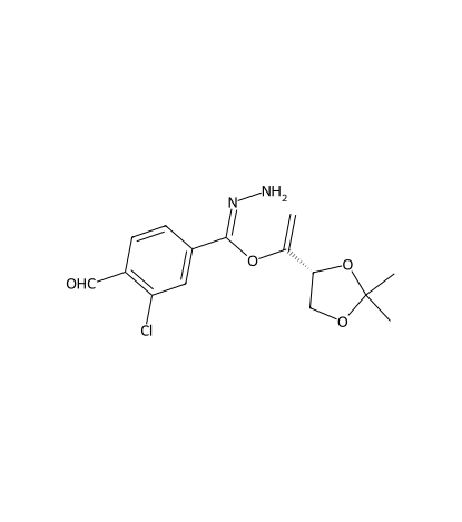 C=C(O/C(=N\N)c1ccc(C=O)c(Cl)c1)[C@H]1COC(C)(C)O1